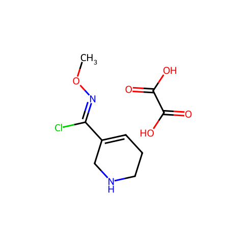 CON=C(Cl)C1=CCCNC1.O=C(O)C(=O)O